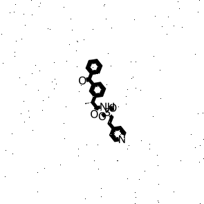 C[C@@H](C(=O)NS(=O)(=O)CCc1ccncc1)c1cccc(C(=O)c2ccccc2)c1